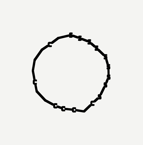 C1CCCCCCSSSSSSSSSCCCCCC1